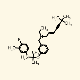 CCN(CC=CC#CC(C)(C)C)Cc1cccc(OC(C)(C)[SiH2]c2ccc(F)c(C)c2)c1